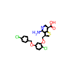 Nc1ncc(C(=O)O)c2scc(COc3cc(OCc4ccc(Cl)cc4)ccc3Cl)c12